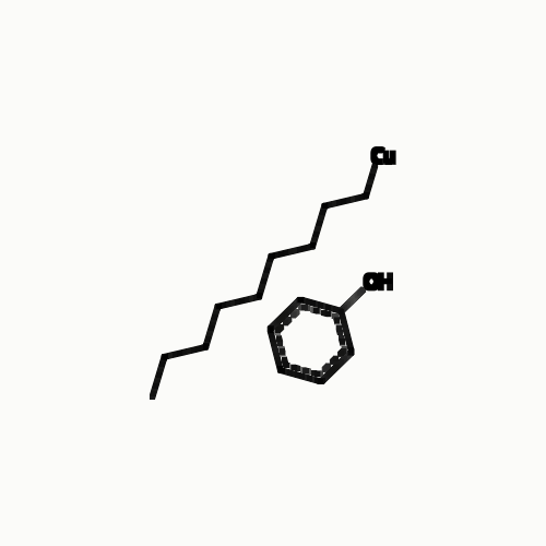 CCCCCCCC[CH2][Cu].Oc1ccccc1